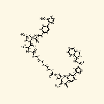 Cc1ncsc1-c1ccc(CNC(=O)[C@@H]2C[C@@H](O)CN2C(=O)C(NC(=O)CCOCCOCCC(=O)NCCN(C)C(=O)c2ccc(-c3cc(C(=O)N[C@@H]4CCc5ccccc54)no3)cc2O)C(C)(C)C)cc1